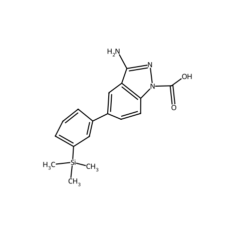 C[Si](C)(C)c1cccc(-c2ccc3c(c2)c(N)nn3C(=O)O)c1